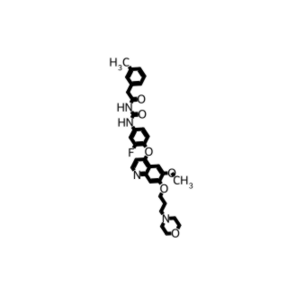 COc1cc2c(Oc3ccc(NC(=O)NC(=O)Cc4cccc(C)c4)cc3F)ccnc2cc1OCCCN1CCOCC1